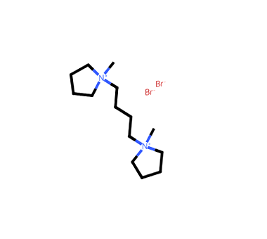 C[N+]1(CCCC[N+]2(C)CCCC2)CCCC1.[Br-].[Br-]